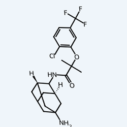 CC(C)(Oc1cc(C(F)(F)F)ccc1Cl)C(=O)NC1[C@@H]2CC3C[C@H]1CC(N)(C3)C2